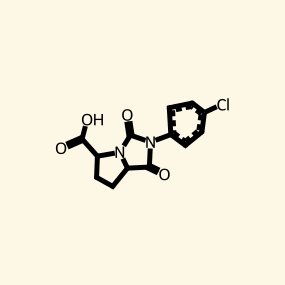 O=C(O)C1CCC2C(=O)N(c3ccc(Cl)cc3)C(=O)N12